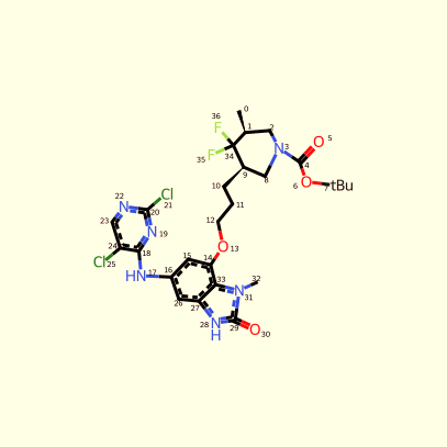 C[C@H]1CN(C(=O)OC(C)(C)C)C[C@@H](CCCOc2cc(Nc3nc(Cl)ncc3Cl)cc3[nH]c(=O)n(C)c23)C1(F)F